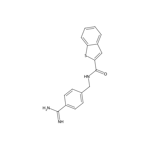 N=C(N)c1ccc(CNC(=O)c2cc3ccccc3s2)cc1